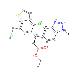 CCOC(=O)C[C@@H](c1cc(CCl)c2sccc2c1)c1ccc2c(nnn2C)c1Cl